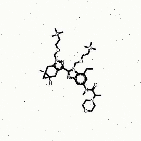 CCc1cc(N(C)C(=O)C(C)N2CCOCC2)cc2nc(-c3nn(COCC[Si](C)(C)C)c4c3C[C@@H]3C[C@]3(C)C4)n(COCC[Si](C)(C)C)c12